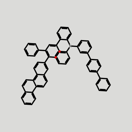 c1ccc(-c2ccc(-c3cccc(N(c4ccccc4)c4ccccc4-c4ccc(-c5ccc6c(ccc7c8ccccc8ccc67)c5)c(-c5ccccc5)c4)c3)cc2)cc1